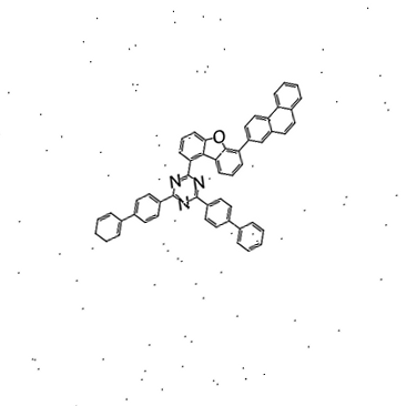 C1=CC(c2ccc(-c3nc(-c4ccc(-c5ccccc5)cc4)nc(-c4cccc5oc6c(-c7ccc8c(ccc9ccccc98)c7)cccc6c45)n3)cc2)=CCC1